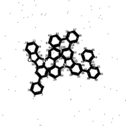 c1ccc(-c2ccc3c(c2)C2Oc4ccccc4C2N3c2ccccc2-c2ccccc2-n2c3ccc(-c4ccccc4-c4ccccc4)cc3c3cc(-c4ccccc4-c4ccccc4)ccc32)cc1